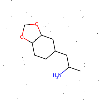 CC(N)CC1CCC2OCOC2C1